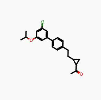 CC(=O)C1CC1CCc1ccc(-c2cc(Cl)cc(OC(C)C)c2)cc1